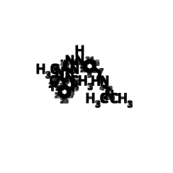 CN(C)CCNCCc1ccc(Nc2ncc3c(n2)N(C)C(c2c(F)cccc2F)C(=O)N3C)cc1